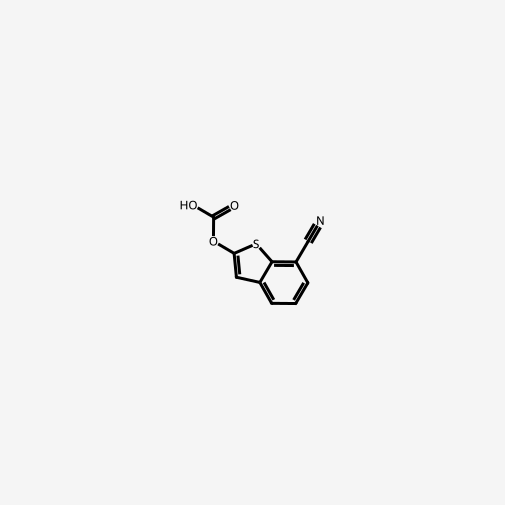 N#Cc1cccc2cc(OC(=O)O)sc12